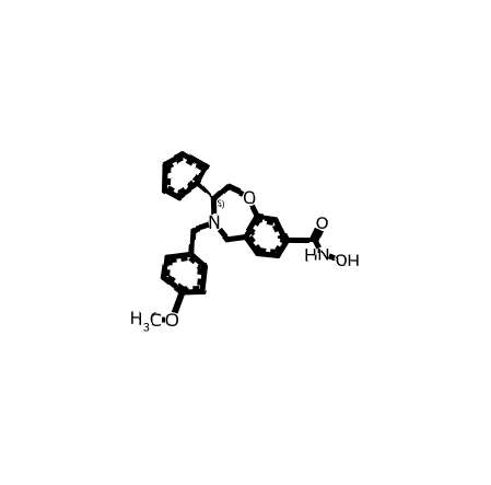 COc1ccc(CN2Cc3ccc(C(=O)NO)cc3OC[C@@H]2c2ccccc2)cc1